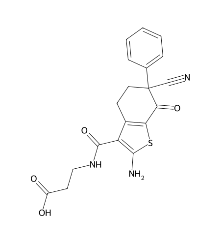 N#CC1(c2ccccc2)CCc2c(sc(N)c2C(=O)NCCC(=O)O)C1=O